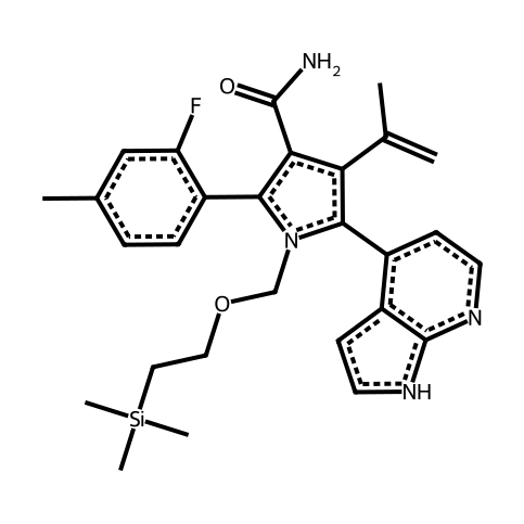 C=C(C)c1c(C(N)=O)c(-c2ccc(C)cc2F)n(COCC[Si](C)(C)C)c1-c1ccnc2[nH]ccc12